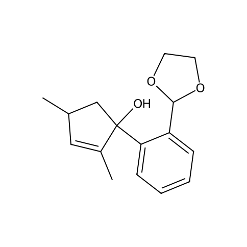 CC1=CC(C)CC1(O)c1ccccc1C1OCCO1